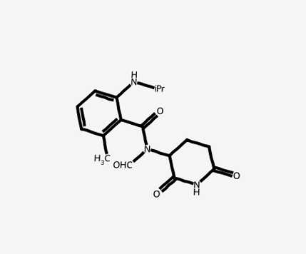 Cc1cccc(NC(C)C)c1C(=O)N(C=O)C1CCC(=O)NC1=O